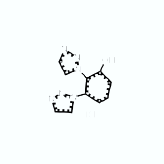 Cl.Oc1cccc(-n2ccnn2)c1-n1ccnn1